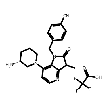 CC1C(=O)N(Cc2ccc(C#N)cc2)c2c(N3CCC[C@@H](N)C3)ccnc21.O=C(O)C(F)(F)F